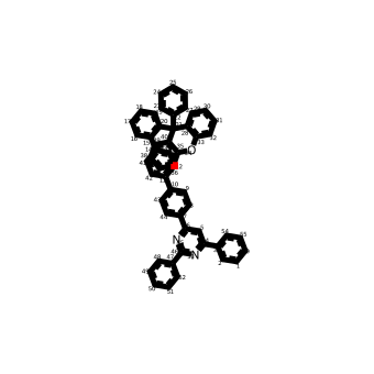 c1ccc(-c2cc(-c3ccc(-c4ccc(-c5ccccc5C5(c6ccccc6)c6ccccc6Oc6ccccc65)cc4)cc3)nc(-c3ccccc3)n2)cc1